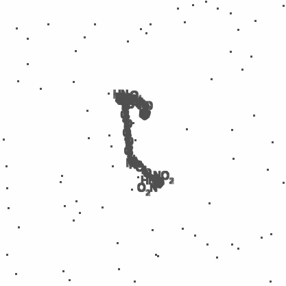 C[C@@H]1CN(C(=O)c2ccccc2)CCN1C(=O)C(=O)c1c[nH]c2nccc(OCCOCCOCCOCCOCCOCCn3cc(COCCOCCNc4c([N+](=O)[O-])cccc4[N+](=O)[O-])nn3)c12